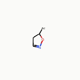 CC(=O)C1CC=NO1